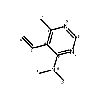 C=Cc1c(C)ncnc1N(C)C